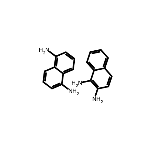 Nc1ccc2ccccc2c1N.Nc1cccc2c(N)cccc12